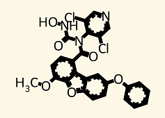 COc1ccc(C(=O)N(C(=O)NO)c2c(Cl)cncc2Cl)c2c1oc1ccc(Oc3ccccc3)cc12